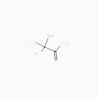 BC(N)(O)C(=O)OC